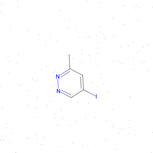 Cc1cc(I)cnn1